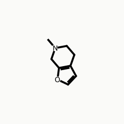 CN1CCc2ccoc2C1